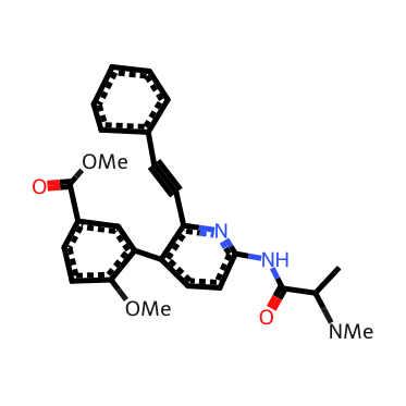 CNC(C)C(=O)Nc1ccc(-c2cc(C(=O)OC)ccc2OC)c(C#Cc2ccccc2)n1